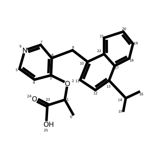 CC(Oc1ccncc1Cc1ccc(C(C)C)c2ccccc12)C(=O)O